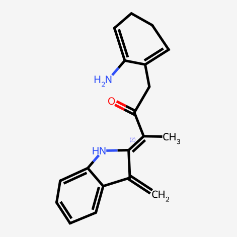 C=c1/c(=C(\C)C(=O)CC2=CCCC=C2N)[nH]c2ccccc12